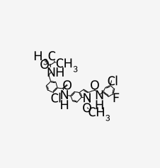 COCn1c(C(=O)Nc2cc(F)cc(Cl)c2)cc2cc(NC(=O)c3cc(CNC(=O)C(C)C)ccc3Cl)ccc21